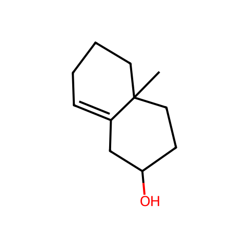 CC12CCCC=C1CC(O)CC2